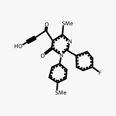 CSc1ccc(-n2c(-c3ccc(F)cc3)nc(SC)c(C(=O)C#CO)c2=O)cc1